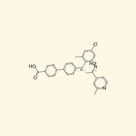 Cc1cc(/C(C[C@H](c2ccc(-c3ccc(C(=O)O)cc3)cc2)c2ccc(Cl)cc2C)=N/O)ccn1